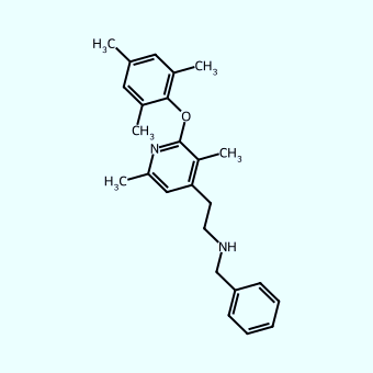 Cc1cc(C)c(Oc2nc(C)cc(CCNCc3ccccc3)c2C)c(C)c1